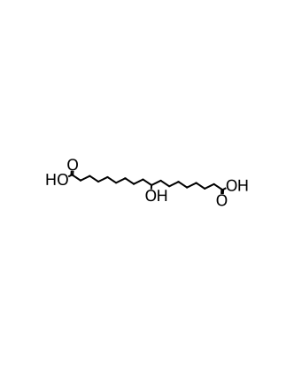 O=C(O)CCCCCCCCC(O)CCCCCCCC(=O)O